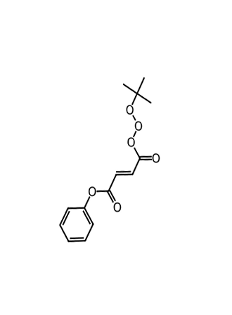 CC(C)(C)OOOC(=O)C=CC(=O)Oc1ccccc1